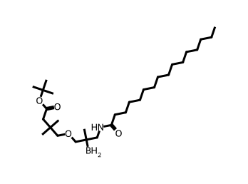 BC(C)(CNC(=O)CCCCCCCCCCCCCCC)COCC(C)(C)CC(=O)OC(C)(C)C